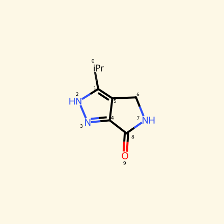 CC(C)c1[nH]nc2c1CNC2=O